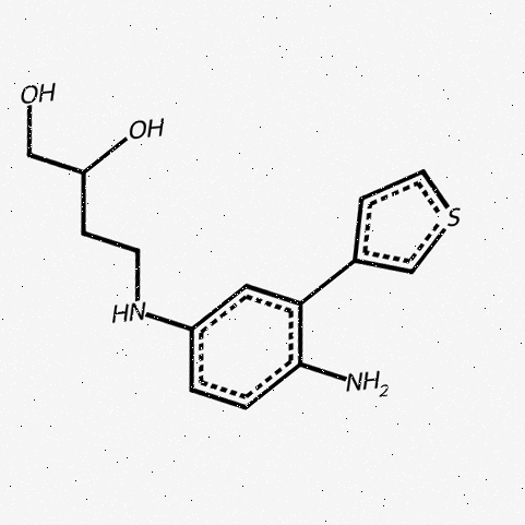 Nc1ccc(NCCC(O)CO)cc1-c1ccsc1